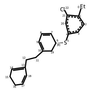 CCc1ccc(S[C@H]2C=CC=C(CCC3=CCCC=C3)C2)cc1Cl